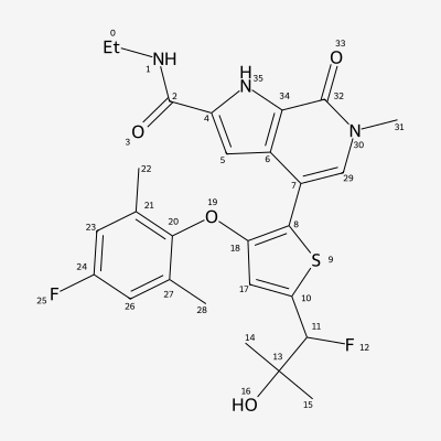 CCNC(=O)c1cc2c(-c3sc(C(F)C(C)(C)O)cc3Oc3c(C)cc(F)cc3C)cn(C)c(=O)c2[nH]1